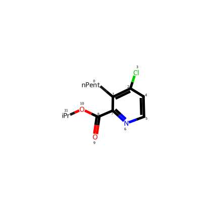 CCCCCc1c(Cl)ccnc1C(=O)OC(C)C